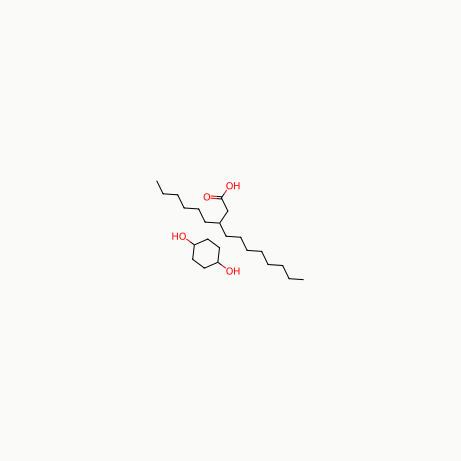 CCCCCCCCC(CCCCCC)CC(=O)O.OC1CCC(O)CC1